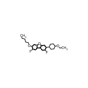 CCCCCOc1cc2oc3cc(C4CCC(OCC)CC4)c(F)cc3c2cc1F